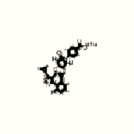 CC(C)(C)OC(=O)c1ccc(N2C(=O)[C@@H]3C[C@H]2C[C@@H]3OCc2c(-c3c(F)cccc3C3CC3)noc2C2CC2)cc1